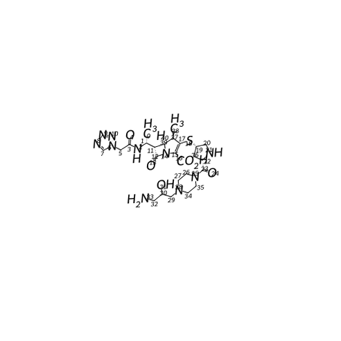 C[C@@H](NC(=O)Cn1cnnn1)[C@H]1C(=O)N2C(C(=O)O)=C(S[C@@H]3CN[C@H](C(=O)N4CCN(CC(O)CN)CC4)C3)[C@H](C)[C@H]12